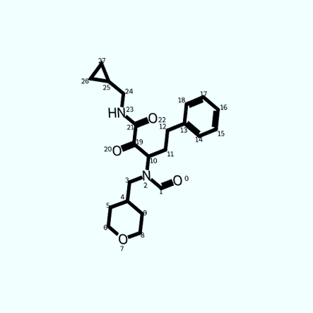 O=CN(CC1CCOCC1)C(CCc1ccccc1)C(=O)C(=O)NCC1CC1